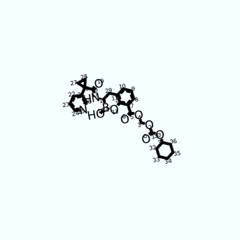 O=C(OCOC(=O)c1cccc2c1OB(O)[C@@H](NC(=O)C1(c3cccnc3)CC1)C2)OC1CCCCC1